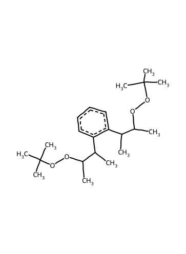 CC(OOC(C)(C)C)C(C)c1ccccc1C(C)C(C)OOC(C)(C)C